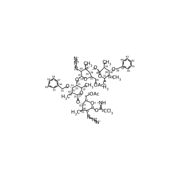 CC(=O)OCC1OC(OC(=N)C(Cl)(Cl)Cl)C(N=[N+]=[N-])[C@@H](C)[C@@H]1O[C@@H]1OC(C)[C@H](O[C@@H]2OC(COC(C)=O)[C@@H](O[C@@H]3OC(C)[C@@H](C)[C@@H](OCc4ccccc4)C3C)[C@H](C)C2N=[N+]=[N-])[C@@H](OCc2ccccc2)C1C